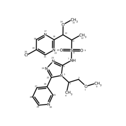 COCC(C)n1c(NS(=O)(=O)C(C)C(OC)c2ncc(Cl)cn2)nnc1-c1cccnc1